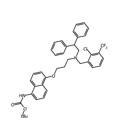 CC(C)(C)OC(=O)Nc1cccc2c(OCCCN(Cc3cccc(C(F)(F)F)c3Cl)CC(c3ccccc3)c3ccccc3)cccc12